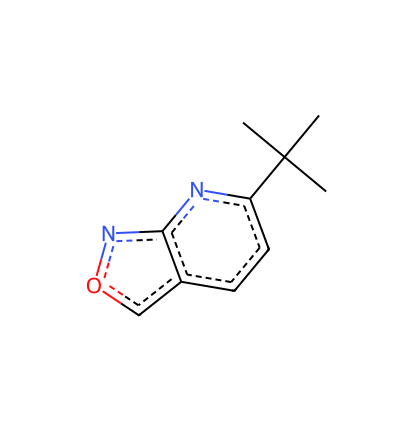 CC(C)(C)c1ccc2conc2n1